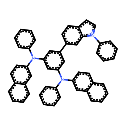 c1ccc(N(c2cc(-c3ccc4ccn(-c5ccccc5)c4c3)cc(N(c3ccccc3)c3ccc4ccccc4c3)c2)c2ccc3ccccc3c2)cc1